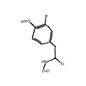 CCC(Cc1ccc(OC)c(Br)c1)NC=O